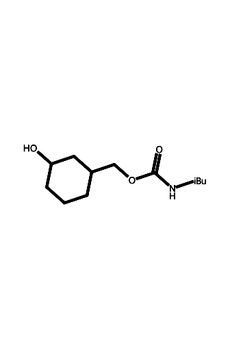 CCC(C)NC(=O)OCC1CCCC(O)C1